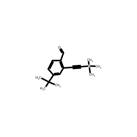 CC(C)(C)c1ccc(C=O)c(C#CS(C)(C)C)c1